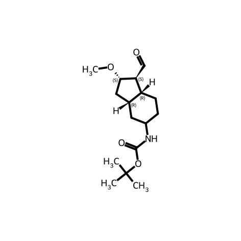 CO[C@H]1C[C@H]2CC(NC(=O)OC(C)(C)C)CC[C@H]2[C@@H]1C=O